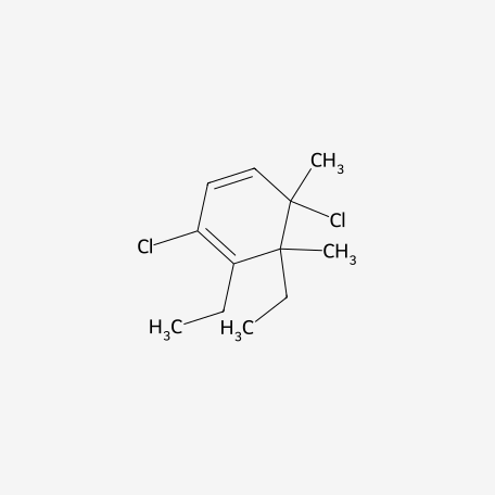 CCC1=C(Cl)C=CC(C)(Cl)C1(C)CC